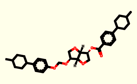 CC1CCC(c2ccc(OCO[C@H]3CO[C@H]4[C@@H]3OC[C@H]4OC(=O)c3ccc(C4CCC(C)CC4)cc3)cc2)CC1